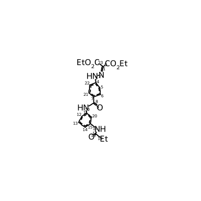 CCOC(=O)C(=NNc1ccc(C(=O)Nc2cccc(NC(=O)CC)c2)cc1)C(=O)OCC